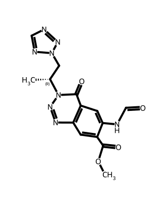 COC(=O)c1cc2nnn([C@H](C)Cn3ncnn3)c(=O)c2cc1NC=O